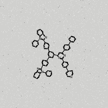 c1ccc(-c2ccc(-c3cc(-c4cc(-c5ccc(-c6nc7ccccc7n6-c6ccccc6)cc5)cc(-c5ccc(-c6nc7ccccc7n6-c6ccccc6)cc5)c4)nc(-c4ccc(-c5ccncc5)cc4)n3)cc2)cc1